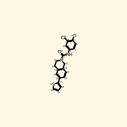 O=C(Nc1ccc(Cl)c(Cl)c1)N1CCc2cc(-c3cccs3)ccc2C1